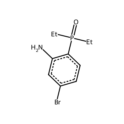 CCP(=O)(CC)c1ccc(Br)cc1N